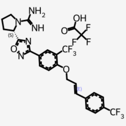 N=C(N)N1CCC[C@H]1c1nc(-c2ccc(OC/C=C/c3ccc(C(F)(F)F)cc3)c(C(F)(F)F)c2)no1.O=C(O)C(F)(F)F